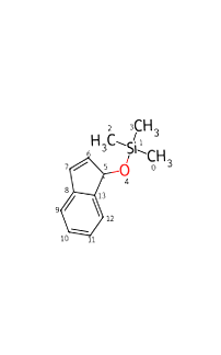 C[Si](C)(C)O[C]1C=Cc2ccccc21